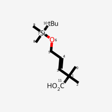 CC(C)(C=CCO[Si](C)(C)C(C)(C)C)C(=O)O